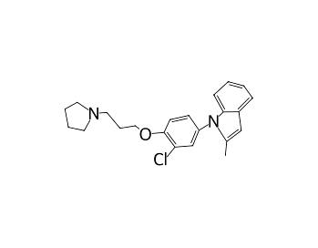 Cc1cc2ccccc2n1-c1ccc(OCCCN2CCCC2)c(Cl)c1